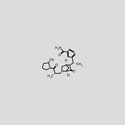 C[C@@H](CN1C[C@@H]2C[C@H]1C(=O)N2[C@@H](C)c1cccc(C(N)=O)c1)C(=O)N1CCC[C@H]1C#N